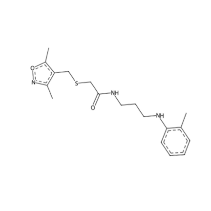 Cc1ccccc1NCCCNC(=O)CSCc1c(C)noc1C